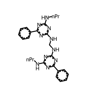 CCCNc1nc(NCNc2nc(NCCC)nc(-c3ccccc3)n2)nc(-c2ccccc2)n1